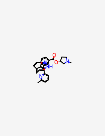 Cc1cccc(-c2[nH]ncc2C2=C\C=C\c3cc(C(=O)O[C@@H]4CCN(C)C4)ccc3/C=C\2)n1